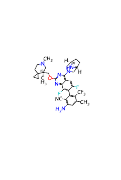 Cc1cc(N)c(C#N)c(-c2c(F)cc3c(N4C[C@H]5CC[C@@H](C4)N5)nc(OC[C@]4(C)CN(C)CCC45CC5)nc3c2F)c1C(F)(F)F